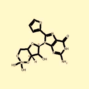 Nc1nc2c(nc(-c3ccco3)n2[C@@H]2OC3CO[PH](O)(S)O[C@H]3C2O)c(=O)[nH]1